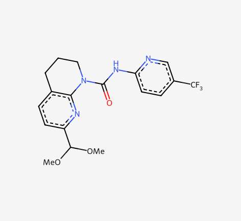 COC(OC)c1ccc2c(n1)N(C(=O)Nc1ccc(C(F)(F)F)cn1)CCC2